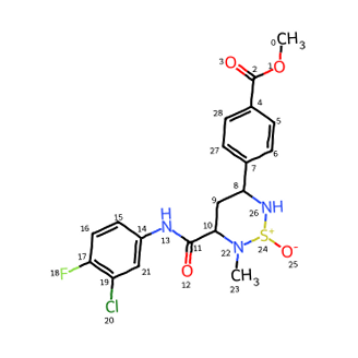 COC(=O)c1ccc(C2CC(C(=O)Nc3ccc(F)c(Cl)c3)N(C)[S+]([O-])N2)cc1